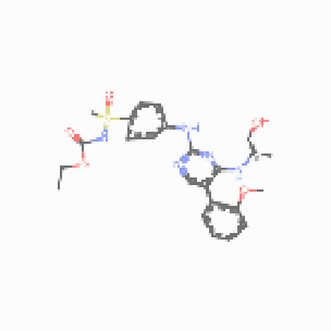 CCOC(=O)N=S(C)(=O)c1ccc(Nc2ncc(-c3ccccc3OC)c(N[C@H](C)CO)n2)cc1